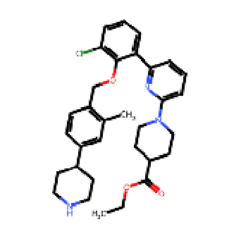 CCOC(=O)C1CCN(c2cccc(-c3cccc(Cl)c3OCc3ccc(C4CCNCC4)cc3C)n2)CC1